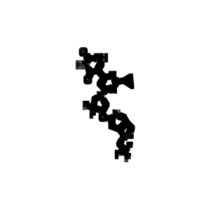 O=c1[nH]cc(-c2cc(N3CC(Oc4cc5c(cn4)cnn5CC(F)(F)F)C(F)(F)C3)nc(C3CC3)n2)c(=O)[nH]1